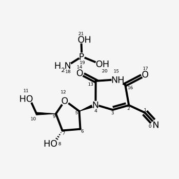 N#Cc1cn([C@H]2C[C@H](O)[C@@H](CO)O2)c(=O)[nH]c1=O.NP(O)O